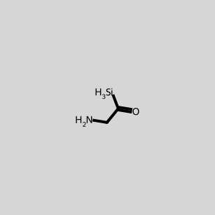 NCC(=O)[SiH3]